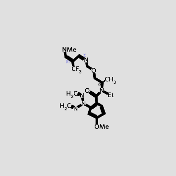 C=NN(N=C)c1cc(OC)ccc1C(=O)N(CC)[C@@H](C)COC/N=C\C(=C/NC)C(F)(F)F